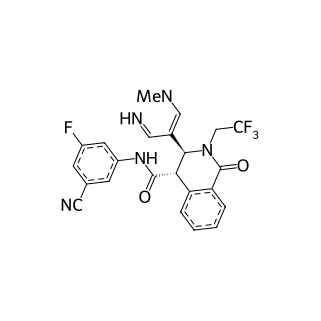 CN/C=C(\C=N)[C@@H]1[C@@H](C(=O)Nc2cc(F)cc(C#N)c2)c2ccccc2C(=O)N1CC(F)(F)F